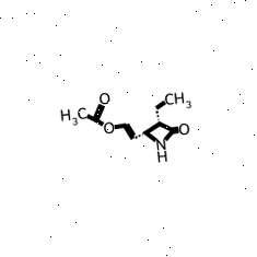 CC[C@@H]1C(=O)N[C@@H]1C=COC(C)=O